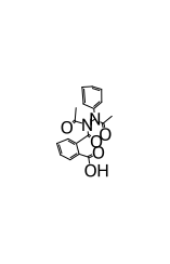 CC(=O)N(C(=O)c1ccccc1C(=O)O)N(C(C)=O)c1ccccc1